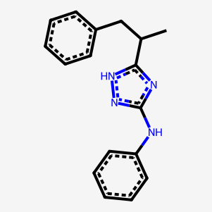 CC(Cc1ccccc1)c1nc(Nc2ccccc2)n[nH]1